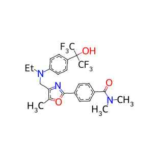 CCN(Cc1nc(-c2ccc(C(=O)N(C)C)cc2)oc1C)c1ccc(C(O)(C(F)(F)F)C(F)(F)F)cc1